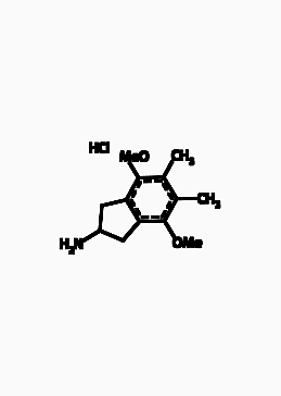 COc1c(C)c(C)c(OC)c2c1CC(N)C2.Cl